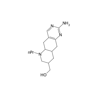 CCCN1CC(CO)CC2Cc3nc(N)ncc3CC21